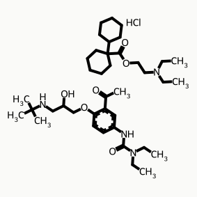 CCN(CC)C(=O)Nc1ccc(OCC(O)CNC(C)(C)C)c(C(C)=O)c1.CCN(CC)CCOC(=O)C1(C2CCCCC2)CCCCC1.Cl